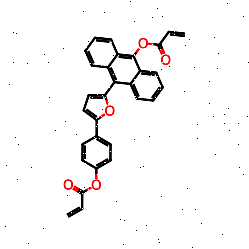 C=CC(=O)Oc1ccc(-c2ccc(-c3c4ccccc4c(OC(=O)C=C)c4ccccc34)o2)cc1